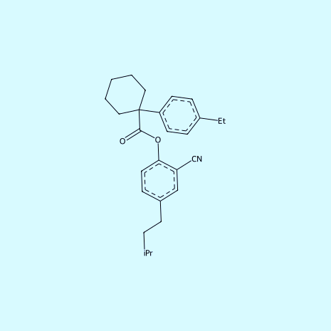 CCc1ccc(C2(C(=O)Oc3ccc(CCC(C)C)cc3C#N)CCCCC2)cc1